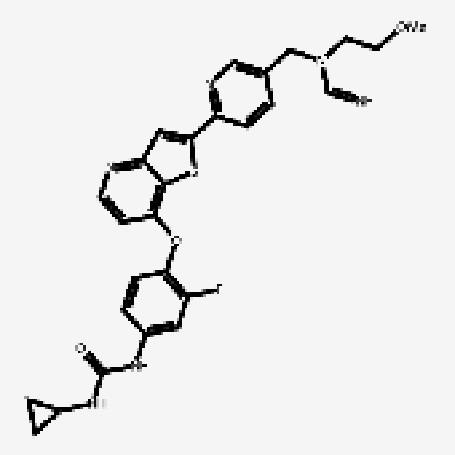 COCCN(C=N)Cc1ccc(-c2cc3nccc(Oc4ccc(NC(=O)NC5CC5)cc4F)c3s2)nc1